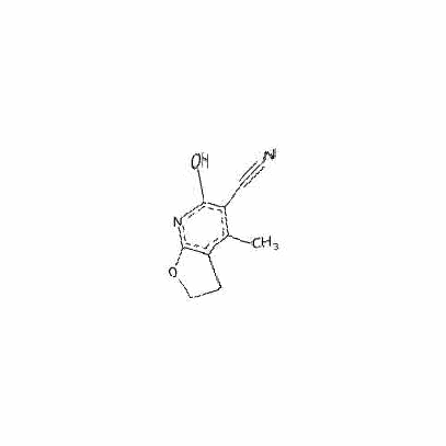 Cc1c(C#N)c(O)nc2c1CCO2